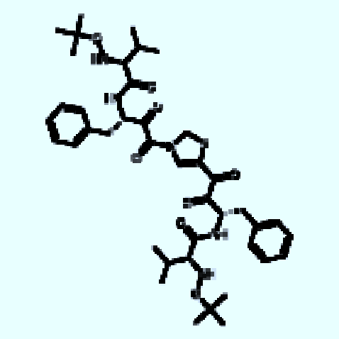 CC(C)[C@H](NOC(C)(C)C)C(=O)N[C@@H](Cc1ccccc1)C(=O)C(=O)C1=CN(C(=O)C(=O)[C@H](Cc2ccccc2)NC(=O)[C@@H](NOC(C)(C)C)C(C)C)CS1